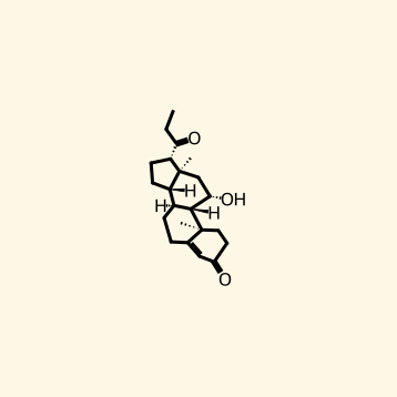 CCC(=O)[C@H]1CC[C@H]2[C@@H]3CCC4=CC(=O)CC[C@]4(C)[C@H]3[C@@H](O)C[C@]12C